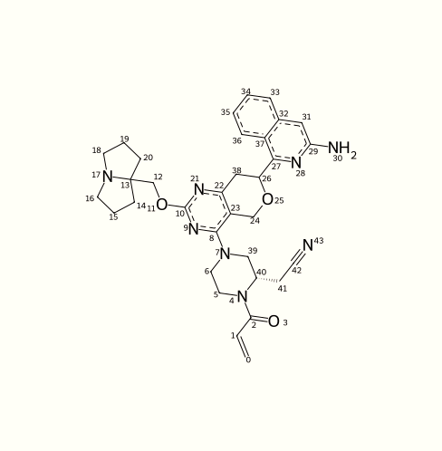 C=CC(=O)N1CCN(c2nc(OCC34CCCN3CCC4)nc3c2COC(c2nc(N)cc4ccccc24)C3)C[C@@H]1CC#N